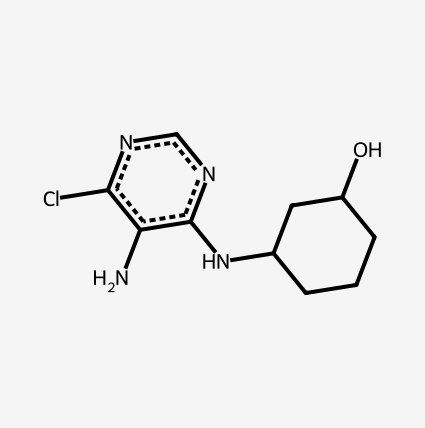 Nc1c(Cl)ncnc1NC1CCCC(O)C1